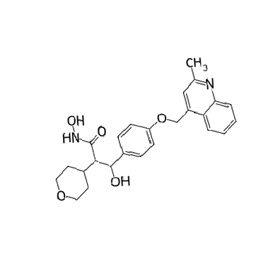 Cc1cc(COc2ccc(C(O)C(C(=O)NO)C3CCOCC3)cc2)c2ccccc2n1